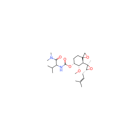 CO[C@@H]1[C@H](OC(=O)NC(C(=O)N(C)C)C(C)C)CCC2(CO2)[C@H]1[C@@]1(C)O[C@@H]1CC=C(C)C